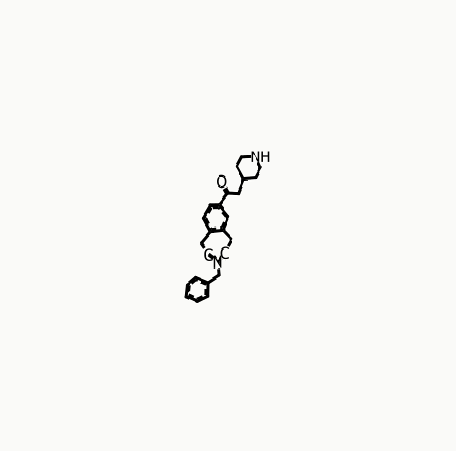 O=C(CC1CCNCC1)c1ccc2c(c1)CCN(Cc1ccccc1)CC2